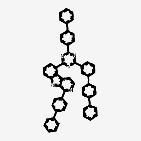 c1ccc(-c2ccc(-c3cccc(-c4nc(-c5ccc(-c6ccccc6)cc5)nc(-c5cccc6oc7c(-c8ccc(-c9ccccc9)cc8)nccc7c56)n4)c3)cc2)cc1